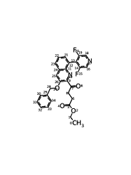 CCOC(=O)CCC(=O)c1nc2c(-c3c(F)cncc3F)cccc2cc1OCc1ccccc1